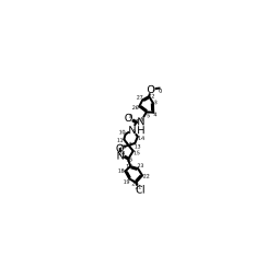 COc1ccc(NC(=O)N2CCC3(CC2)CC(c2ccc(Cl)cc2)=NO3)cc1